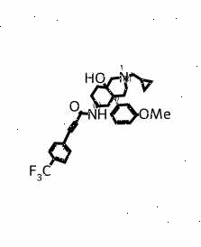 COc1cccc([C@@]23CC[N@+](C)(CC4CC4)CC2(O)CC[C@@H](NC(=O)C#Cc2ccc(C(F)(F)F)cc2)C3)c1